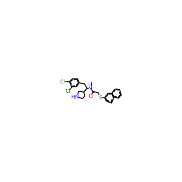 O=C(CSc1ccc2ccccc2c1)NC(Cc1ccc(Cl)c(Cl)c1)C1CCNC1